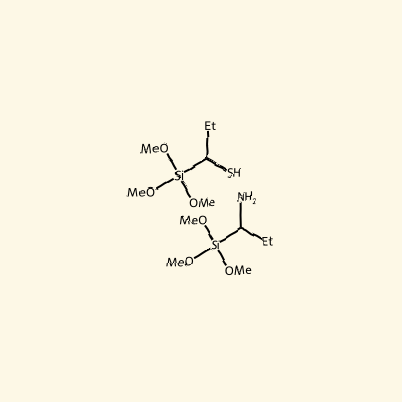 CCC(N)[Si](OC)(OC)OC.CCC(S)[Si](OC)(OC)OC